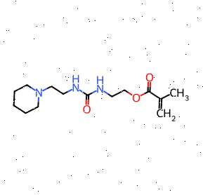 C=C(C)C(=O)OCCNC(=O)NCCN1CCCCC1